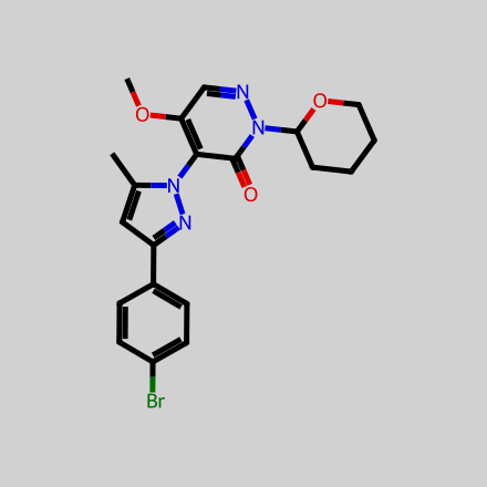 COc1cnn(C2CCCCO2)c(=O)c1-n1nc(-c2ccc(Br)cc2)cc1C